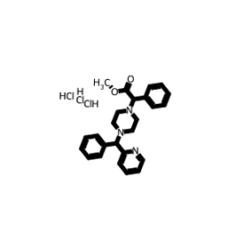 COC(=O)C(c1ccccc1)N1CCN(C(c2ccccc2)c2ccccn2)CC1.Cl.Cl.Cl